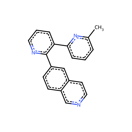 Cc1cccc(-c2cccnc2-c2ccc3cnccc3c2)n1